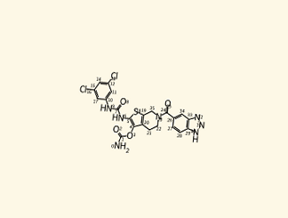 NC(=O)Oc1c(NC(=O)Nc2cc(Cl)cc(Cl)c2)sc2c1CCN(C(=O)c1ccc3[nH]nnc3c1)C2